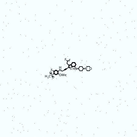 COc1cc(S(C)(=O)=O)c(F)cc1NCC#Cc1sc2c(NC3CCC(N4CCOCC4)CC3)cccc2c1CC(F)F